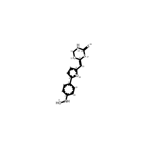 ONc1ccc(-c2ccc(/C=C3\OCNC(=S)S3)o2)cc1